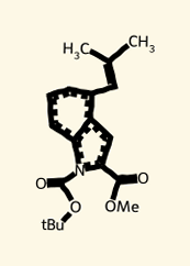 COC(=O)c1cc2c(C=C(C)C)cccc2n1C(=O)OC(C)(C)C